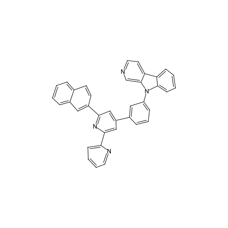 c1ccc(-c2cc(-c3cccc(-n4c5ccccc5c5ccncc54)c3)cc(-c3ccc4ccccc4c3)n2)nc1